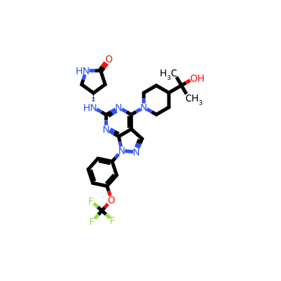 CC(C)(O)C1CCN(c2nc(N[C@@H]3CNC(=O)C3)nc3c2cnn3-c2cccc(OC(F)(F)F)c2)CC1